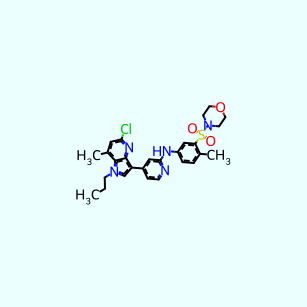 CCCn1cc(-c2ccnc(Nc3ccc(C)c(S(=O)(=O)N4CCOCC4)c3)c2)c2nc(Cl)cc(C)c21